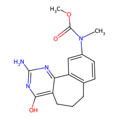 COC(=O)N(C)c1ccc2c(c1)-c1nc(N)nc(O)c1CCC2